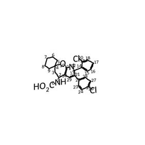 O=C(O)NC1CC2(CCCCC2)Oc2nc(-c3ccccc3Cl)c(-c3ccc(Cl)cc3)cc21